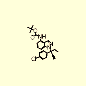 C#CC(CC)(c1ccc(Cl)cc1)n1ncc2c(NC(=O)OC(C)(C)C)cccc21